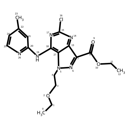 CCOCCn1nc(C(=O)OCC)c2nc(Cl)nc(Nc3cc(C)ccn3)c21